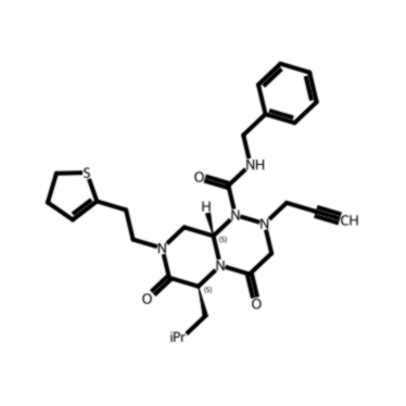 C#CCN1CC(=O)N2[C@@H](CC(C)C)C(=O)N(CCC3=CCCS3)C[C@@H]2N1C(=O)NCc1ccccc1